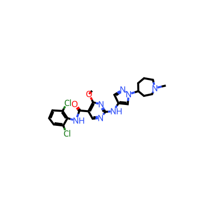 COc1nc(Nc2cnn(C3CCCN(C)CC3)c2)ncc1C(=O)Nc1c(Cl)cccc1Cl